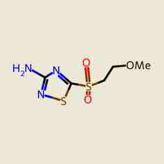 COCCS(=O)(=O)c1nc(N)ns1